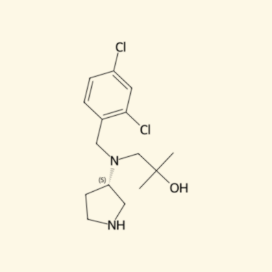 CC(C)(O)CN(Cc1ccc(Cl)cc1Cl)[C@H]1CCNC1